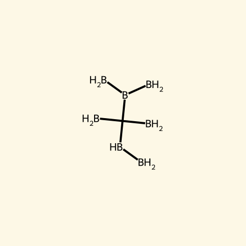 BBC(B)(B)B(B)B